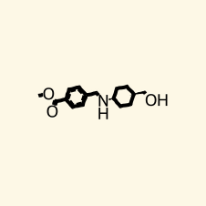 COC(=O)c1ccc(CN[C@H]2CC[C@H](CO)CC2)cc1